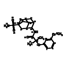 COc1cccc(OC(C)(C)C(=O)NC2C3CC4CC2CC(S(N)(=O)=O)(C4)C3)c1